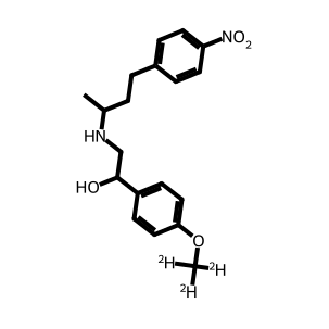 [2H]C([2H])([2H])Oc1ccc(C(O)CNC(C)CCc2ccc([N+](=O)[O-])cc2)cc1